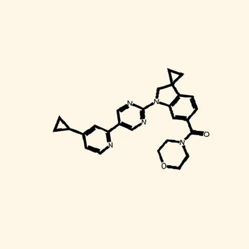 O=C(c1ccc2c(c1)N(c1ncc(-c3cc(C4CC4)ccn3)cn1)CC21CC1)N1CCOCC1